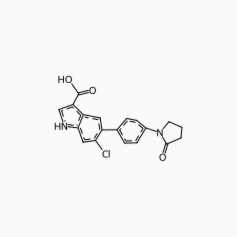 O=C(O)c1c[nH]c2cc(Cl)c(-c3ccc(N4CCCC4=O)cc3)cc12